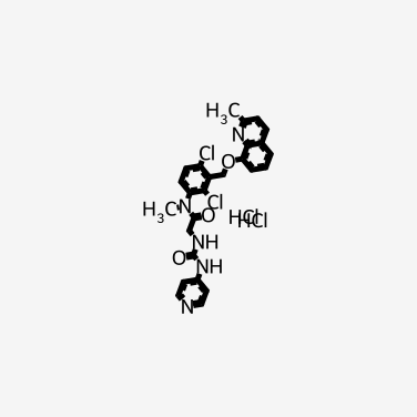 Cc1ccc2cccc(OCc3c(Cl)ccc(N(C)C(=O)CNC(=O)Nc4ccncc4)c3Cl)c2n1.Cl.Cl